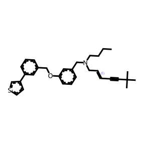 CCCCN(C/C=C/C#CC(C)(C)C)Cc1cccc(OCc2cccc(-c3ccsc3)c2)c1